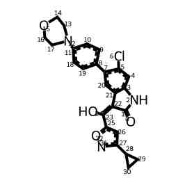 O=C1Nc2cc(Cl)c(-c3ccc(N4CCOCC4)cc3)cc2C1=C(O)c1cc(C2CC2)no1